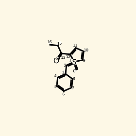 C=S1(=Cc2ccccc2)C=CC=C1C(=O)CC